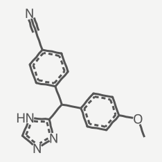 COc1ccc(C(c2ccc(C#N)cc2)c2nnc[nH]2)cc1